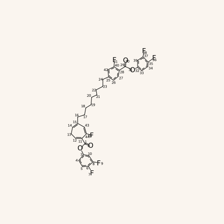 O=C(Oc1ccc(F)c(F)c1)C1=CCC=C(CCCCCCCCCc2ccc(C(=O)Oc3ccc(F)c(F)c3)c(F)c2)C=C1F